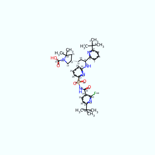 CC(C)(C)c1cccc(C(CC[C@@H]2CN(C(=O)O)C(C)(C)C2)Nc2cccc(S(=O)(=O)NC(=O)c3ccc(C(C)(C)C)nc3F)n2)n1